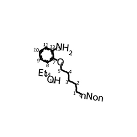 CCCCCCCCCCCCCCOc1ccccc1N.CCO